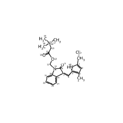 Cc1cc(C)c(/C=C2\C(=O)N(COC(=O)C[N+](C)(C)C)c3ccccc32)[nH]1.[Cl-]